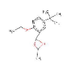 CCOc1ccc(C(C)(C)C)cc1C1OC(C)O1